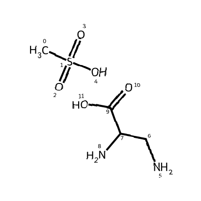 CS(=O)(=O)O.NCC(N)C(=O)O